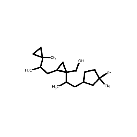 CC(C)C1(C#N)CCC(CC(C)C2(CO)CC2CC(C)C2(C(F)(F)F)CC2)C1